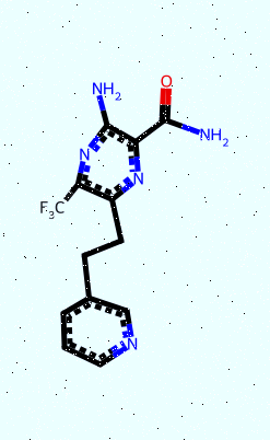 NC(=O)c1nc(CCc2cccnc2)c(C(F)(F)F)nc1N